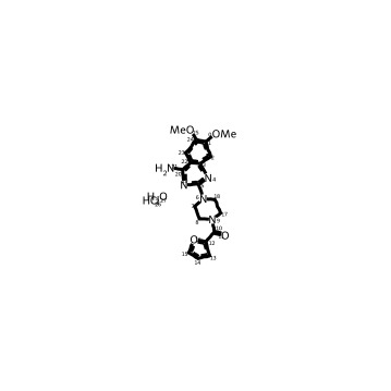 COc1cc2nc(N3CCN(C(=O)c4ccco4)CC3)nc(N)c2cc1OC.Cl.O